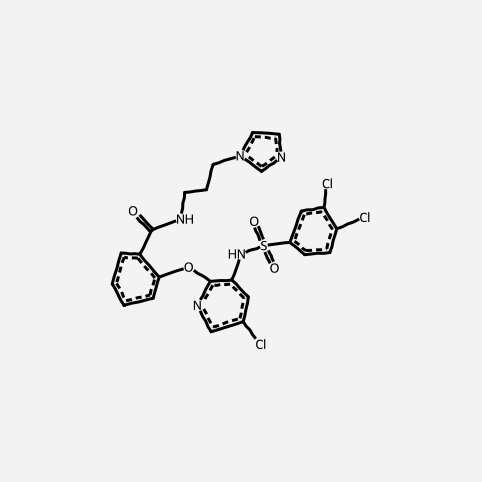 O=C(NCCCn1ccnc1)c1ccccc1Oc1ncc(Cl)cc1NS(=O)(=O)c1ccc(Cl)c(Cl)c1